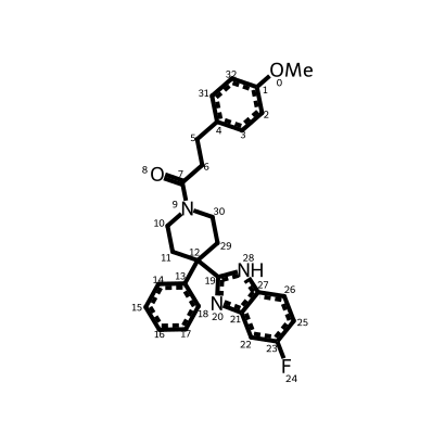 COc1ccc(CCC(=O)N2CCC(c3ccccc3)(c3nc4cc(F)ccc4[nH]3)CC2)cc1